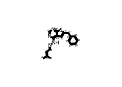 CC(C)=CC=NNc1ncnc2sc(Cc3ccccc3)cc12